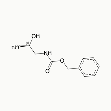 CCC[C@@H](O)CNC(=O)OCc1ccccc1